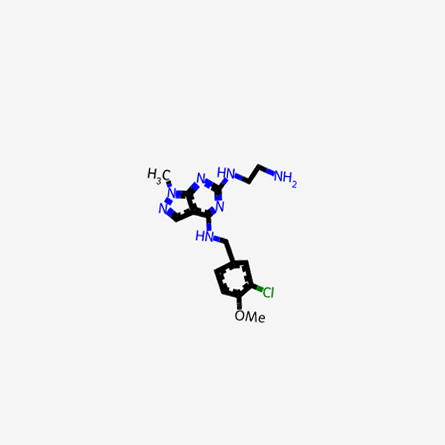 COc1ccc(CNc2nc(NCCN)nc3c2cnn3C)cc1Cl